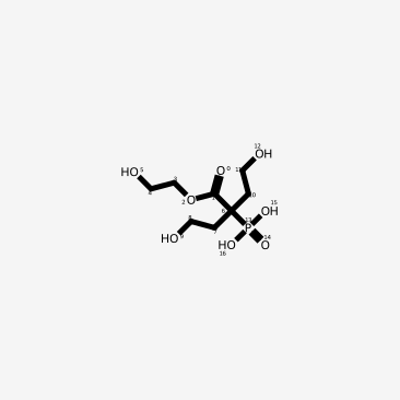 O=C(OCCO)C(CCO)(CCO)P(=O)(O)O